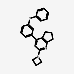 c1ccc(Sc2cccc(-c3nc(N4CCC4)nc4c3CCC4)c2)cc1